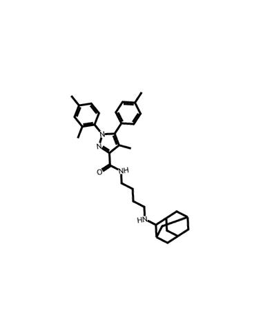 Cc1ccc(-c2c(C)c(C(=O)NCCCCNC3C4CC5CC(C4)CC3C5)nn2-c2ccc(C)cc2C)cc1